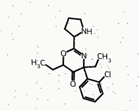 CCC1OC(C2CCCN2)=NC(CC)(c2ccccc2Cl)C1=O